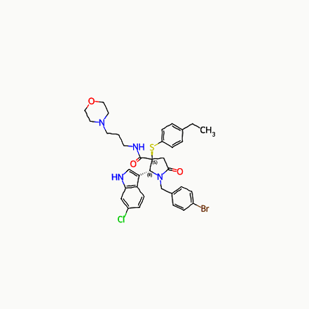 CCc1ccc(S[C@@]2(C(=O)NCCCN3CCOCC3)CC(=O)N(Cc3ccc(Br)cc3)[C@@H]2c2c[nH]c3cc(Cl)ccc23)cc1